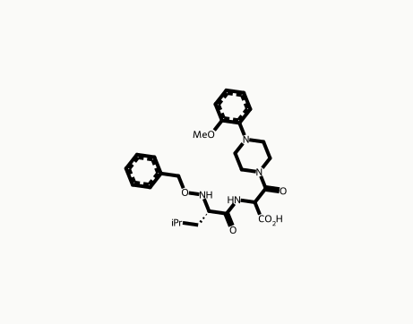 COc1ccccc1N1CCN(C(=O)C(NC(=O)[C@H](CC(C)C)NOCc2ccccc2)C(=O)O)CC1